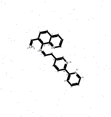 C=Cc1ccc2cccnc2c1/N=C\Cc1ccc(-c2ccccn2)nc1